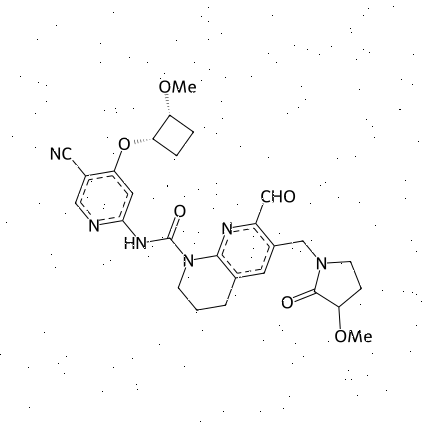 COC1CCN(Cc2cc3c(nc2C=O)N(C(=O)Nc2cc(O[C@H]4CC[C@H]4OC)c(C#N)cn2)CCC3)C1=O